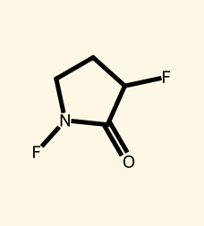 O=C1C(F)CCN1F